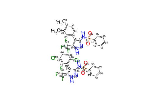 Cc1ccc(-c2c(NS(=O)(=O)c3ccccc3)n[nH]c2C(F)(F)F)cc1C.O=S(=O)(Nc1n[nH]c(C(F)(F)F)c1-c1cc(Cl)ccc1Cl)c1ccccc1